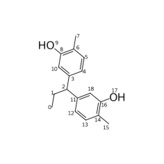 CCC(c1ccc(C)c(O)c1)c1ccc(C)c(O)c1